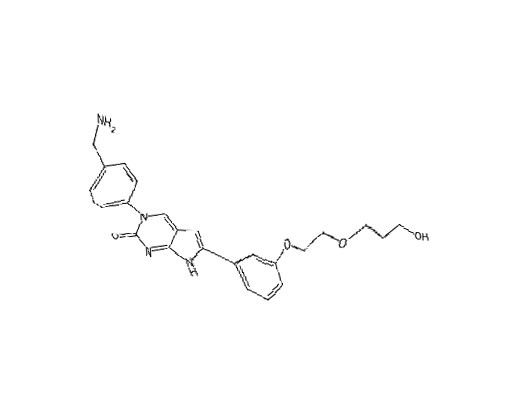 NCc1ccc(-n2cc3cc(-c4cccc(OCCOCCCO)c4)[nH]c3nc2=O)cc1